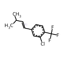 CC(C)/C=C/c1ccc(C(F)(F)F)c(Cl)c1